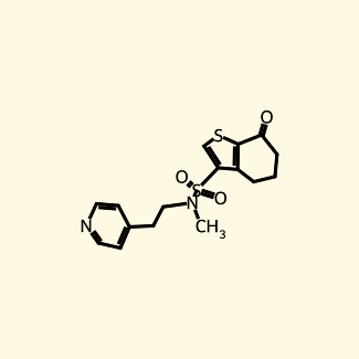 CN(CCc1ccncc1)S(=O)(=O)c1csc2c1CCCC2=O